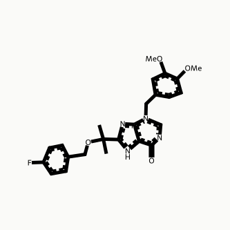 COc1ccc(Cn2cnc(=O)c3[nH]c(C(C)(C)OCc4ccc(F)cc4)nc32)cc1OC